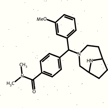 COc1cccc(C(c2ccc(C(=O)N(C)C)cc2)N2CCC3CCC(C2)N3)c1